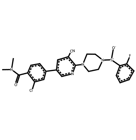 CN(C)C(=O)c1ccc(-c2cnc(N3CCN([S+]([O-])c4ccccc4F)CC3)c(C#N)c2)cc1Cl